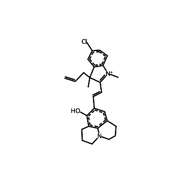 C=CCC1(C)C(/C=C/c2cc3c4c(c2O)CCCN4CCC3)=[N+](C)c2ccc(Cl)cc21